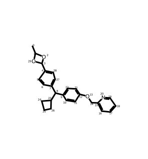 CC1OC(c2ccc(C(c3ccc(OCc4ccccn4)cc3)C3CCC3)cc2)O1